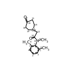 Cc1cccc(C)c1N(C)C(=O)CN1CCC(=O)CC1